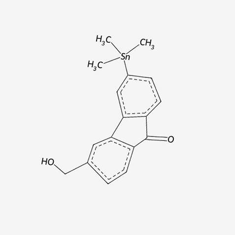 [CH3][Sn]([CH3])([CH3])[c]1ccc2c(c1)-c1cc(CO)ccc1C2=O